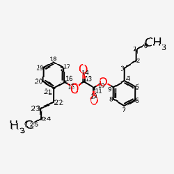 CCCCc1ccccc1OC(=O)C(=O)Oc1ccccc1CCCC